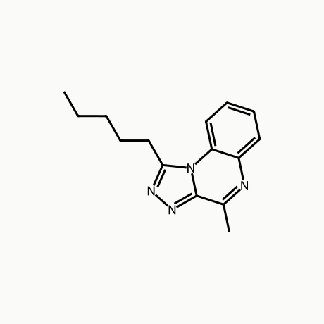 CCCCCc1nnc2c(C)nc3ccccc3n12